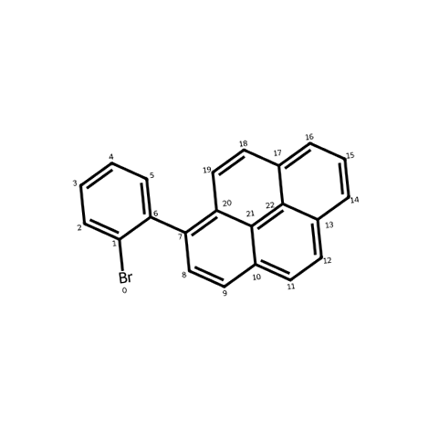 Brc1ccccc1-c1ccc2ccc3cccc4ccc1c2c34